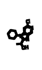 CC(O)c1nc2cnc(Cl)cc2n1C1CCCCC1